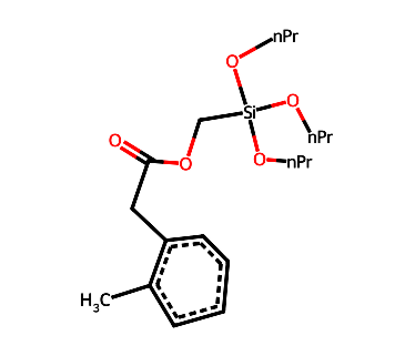 CCCO[Si](COC(=O)Cc1ccccc1C)(OCCC)OCCC